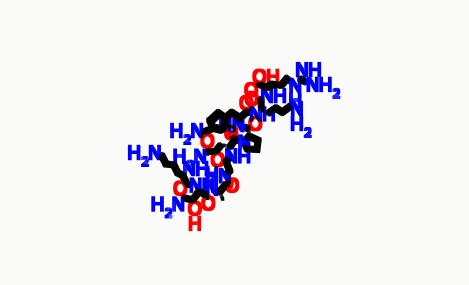 C[C@H](NC(=O)[C@@H](NC(=O)[C@@H](N)CCCCN)[C@@H](O)CN)C(=O)NCC(=O)N[C@H](CCCN)C(=O)N1CCC[C@H]1C(=O)NC(Cc1ccc(C(N)=O)cc1)C(=O)N[C@@H](CCCCN)C(=O)N/C(=C\CCNC(=N)N)C(=O)O